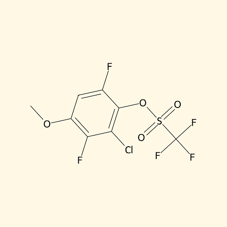 COc1cc(F)c(OS(=O)(=O)C(F)(F)F)c(Cl)c1F